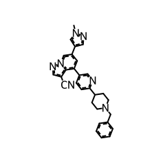 Cn1cc(-c2cc(-c3ccc(C4CCN(Cc5ccccc5)CC4)nc3)c3c(C#N)cnn3c2)cn1